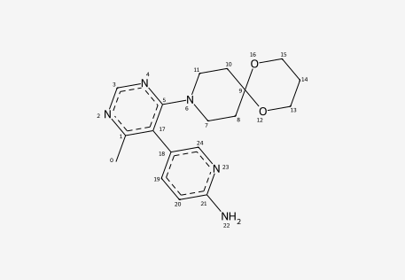 Cc1ncnc(N2CCC3(CC2)OCCCO3)c1-c1ccc(N)nc1